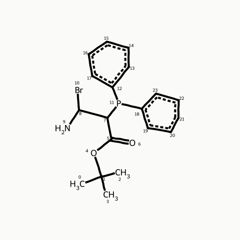 CC(C)(C)OC(=O)C(C(N)Br)P(c1ccccc1)c1ccccc1